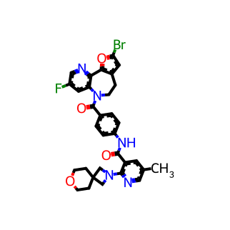 Cc1cnc(N2CC3(CCOCC3)C2)c(C(=O)Nc2ccc(C(=O)N3CCc4cc(Br)oc4-c4ncc(F)cc43)cc2)c1